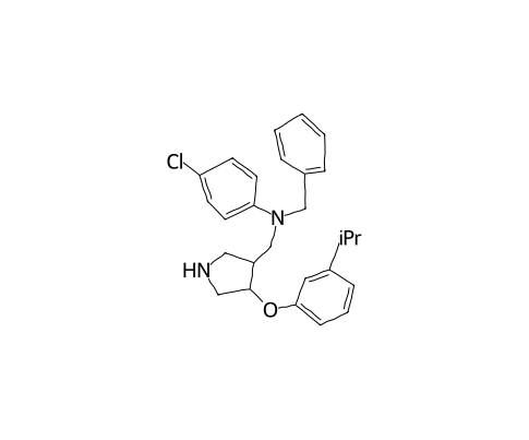 CC(C)c1cccc(OC2CNCC2CN(Cc2ccccc2)c2ccc(Cl)cc2)c1